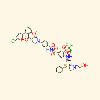 CO[C@@H]1CN(c2ccc(C(=O)NS(=O)(=O)c3ccc(N[C@@H](CSc4ccccc4)C[C@H]4CCCN4CCO)c(S(=O)(=O)C(F)(F)F)c3)cc2)CCC1[C@@H](O)c1ccccc1-c1ccc(Cl)cc1